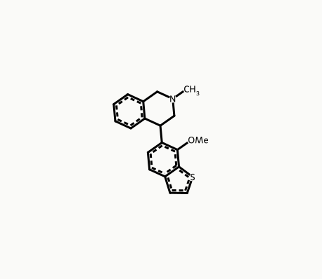 COc1c(C2CN(C)Cc3ccccc32)ccc2ccsc12